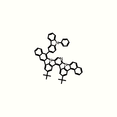 CC(C)(C)c1cc2c3c4ccccc4ccc3n3c4ncc5c(c6cc(C(C)(C)C)cc7c8cc9ccccc9c(-c9ccc%10c(c9)c9ccccc9n%10-c9ccccc9)c8n5c76)c4c(c1)c23